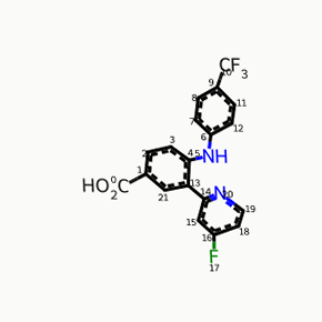 O=C(O)c1ccc(Nc2ccc(C(F)(F)F)cc2)c(-c2cc(F)ccn2)c1